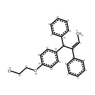 CC=C(c1ccccc1)C(c1ccccc1)c1ccc(OCCCl)cc1